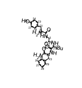 CCC(C)[C@H](NC(=O)CNC(=O)[C@@H](N)Cc1ccc(O)cc1)C(=O)N[C@@H](Cc1ccccc1)C(N)=O